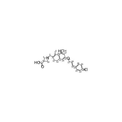 CC1=C(CN2CC(C(=O)O)C2)CCc2cc(OCC=Cc3ccc(Cl)cc3)ccc21.Cl